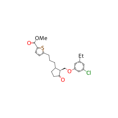 CCc1cc(Cl)cc(OC[C@H]2C(=O)CCC2CCCc2ccc(C(=O)OC)s2)c1